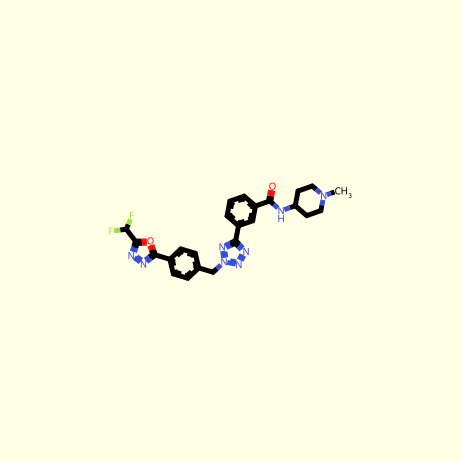 CN1CCC(NC(=O)c2cccc(-c3nnn(Cc4ccc(-c5nnc(C(F)F)o5)cc4)n3)c2)CC1